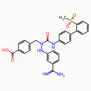 CS(=O)(=O)c1ccccc1-c1ccc(NC(=O)N(Cc2ccc(C(=O)O)cc2)Nc2cccc(C(=N)N)c2)cc1